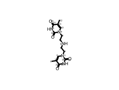 Cc1cn(CCNCCn2cc(C)c(=O)[nH]c2=O)c(=O)[nH]c1=O